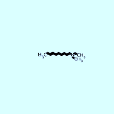 CCC=CCCCCCCN(CC)CC